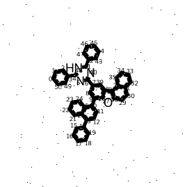 c1ccc(C2=NC(c3cc(-c4ccc(-c5ccccc5)c5ccccc45)c4oc5ccc6ccccc6c5c4c3)=NC(c3ccccc3)N2)cc1